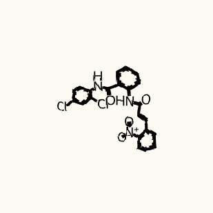 O=C(C=Cc1ccccc1[N+](=O)[O-])Nc1ccccc1C(=O)Nc1ccc(Cl)cc1Cl